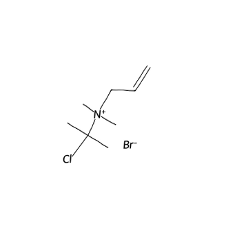 C=CC[N+](C)(C)C(C)(C)Cl.[Br-]